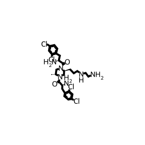 C[C@@H]1CN(C(=O)[C@H](N)Cc2ccc(Cl)cc2Cl)[C@@H](CCCNCCN)CN1C(=O)[C@H](N)Cc1ccc(Cl)cc1Cl